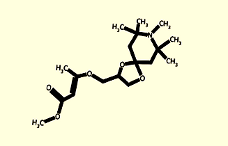 COC(=O)C=C(C)OCC1COC2(CC(C)(C)N(C)C(C)(C)C2)O1